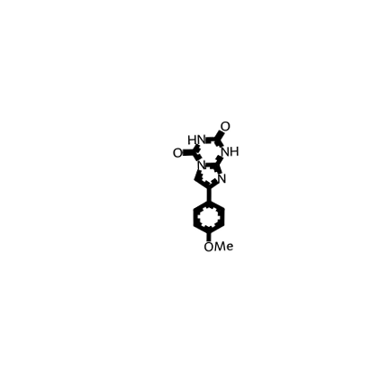 COc1ccc(-c2cn3c(=O)[nH]c(=O)[nH]c3n2)cc1